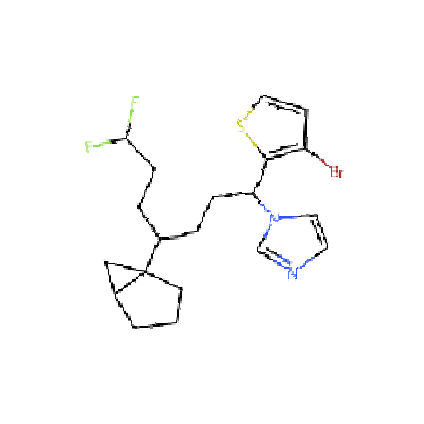 FC(F)CCC(CCC(c1sccc1Br)n1ccnc1)C12CCCC1C2